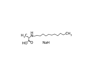 CCCCCCCCCCCCN[C@H](C)C(=O)O.[NaH]